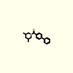 CC1CC(C)CN(C(=O)c2ccc(-c3ccccc3)cc2)C1